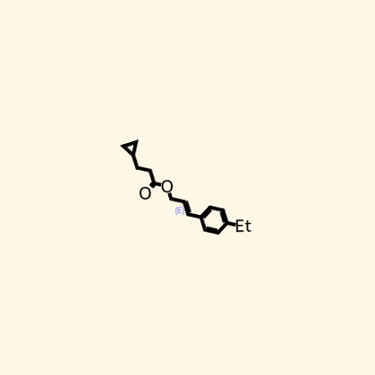 CCc1ccc(/C=C/COC(=O)CCC2CC2)cc1